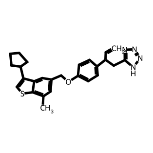 C=CC(Cc1nnn[nH]1)c1ccc(OCc2cc(C)c3scc(C4CCCC4)c3c2)cc1